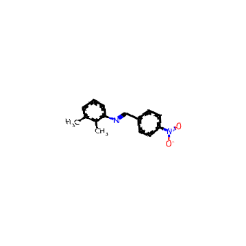 Cc1cccc(N=Cc2ccc([N+](=O)[O-])cc2)c1C